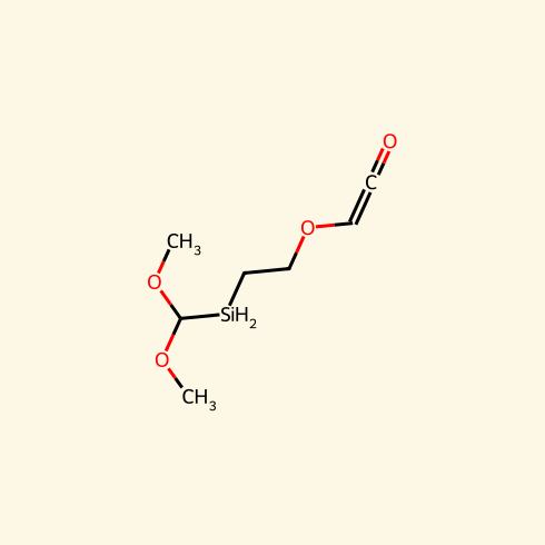 COC(OC)[SiH2]CCOC=C=O